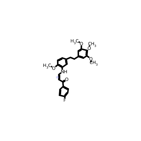 COc1ccc(CCc2cc(OC)c(OC)c(OC)c2)cc1N/C=C\C(=O)c1ccc(F)cc1